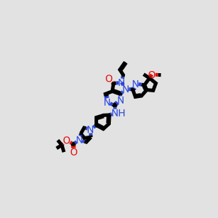 C=CCn1c(=O)c2cnc(Nc3ccc(N4CC5CC4CN5C(=O)OC(C)(C)C)cc3)nc2n1-c1ccc2c(n1)C(C)(OC)CC2